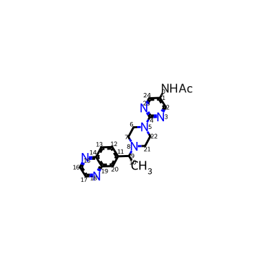 CC(=O)Nc1cnc(N2CCN(C(C)c3ccc4nccnc4c3)CC2)nc1